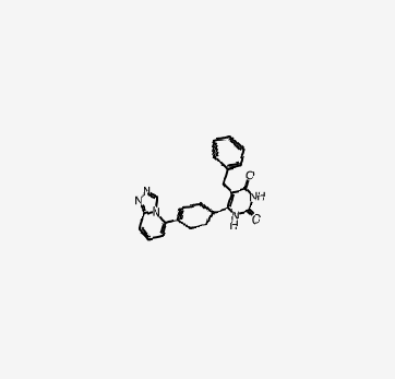 O=c1[nH]c(C2CC=C(c3cccc4nncn34)CC2)c(Cc2ccccc2)c(=O)[nH]1